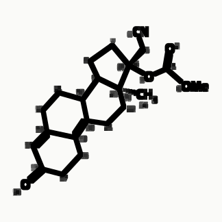 COC(=O)O[C@@]1(CC#N)CCC2C3CCC4=CC(=O)CCC4=C3CC[C@@]21C